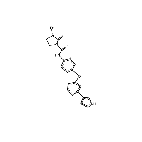 CCN1CCN(C(=O)Nc2ccc(Oc3ccnc(-c4c[nH]c(C)n4)c3)cn2)C1=O